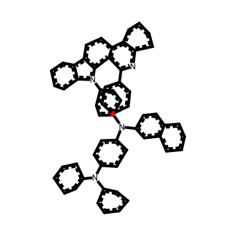 c1ccc(-c2nc3ccccc3c3ccc4c5ccccc5n(-c5ccc(N(c6ccc(N(c7ccccc7)c7ccccc7)cc6)c6ccc7ccccc7c6)cc5)c4c23)cc1